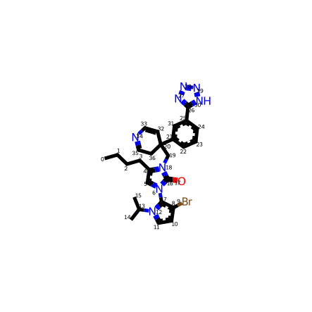 CCCCc1cn(-c2c(Br)ccn2C(C)C)c(=O)n1CC1(c2cccc(-c3nnn[nH]3)c2)C=CN=CC1